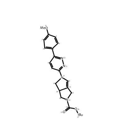 COc1ccc(-c2ccc(N3C=C4CN(C(=O)OC(C)(C)C)CC4C3)nn2)cc1